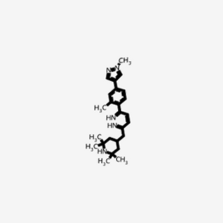 Cc1cc(-c2cnn(C)c2)ccc1C(=N)/C=C\C(=N)CC1CC(C)(C)NC(C)(C)C1